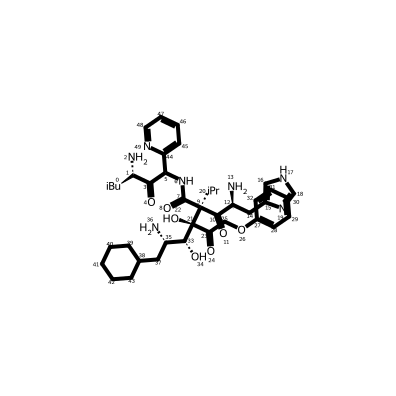 CC[C@H](C)[C@H](N)C(=O)C(NC(=O)[C@](C(=O)[C@@H](N)Cc1c[nH]cn1)(C(C)C)[C@](O)(C(=O)COc1ccccc1)[C@H](O)[C@@H](N)CC1CCCCC1)c1ccccn1